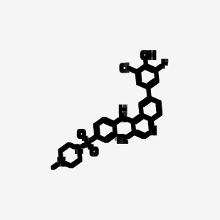 [CH2][CH]c1cnc2ccc(-c3cc(F)c(O)c(Cl)c3)cc2c1Nc1ccc(S(=O)(=O)N2CCN(C)CC2)cc1